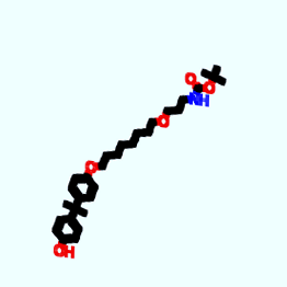 CC(C)(C)OC(=O)NCCCOCCCCCCCCOc1ccc(C(C)(C)c2ccc(O)cc2)cc1